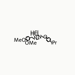 COc1ccc(CCN2CCN(CCOc3ccc(C(C)C)cc3)CC2)cc1OC.Cl.Cl